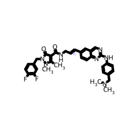 Cc1c(C(=O)NC/C=C/c2ccc3nc(Nc4ccc(CN(C)C)cc4)ncc3c2)c(=O)n(Cc2ccc(F)c(F)c2)n1C